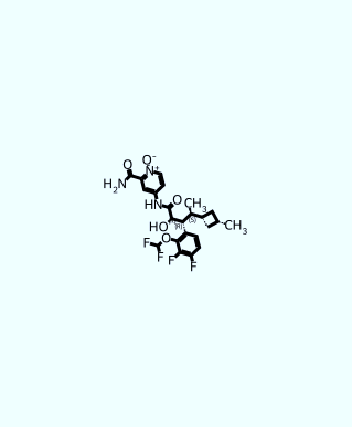 C[C@@H]([C@H]1C[C@@H](C)C1)[C@H](c1ccc(F)c(F)c1OC(F)F)[C@@H](O)C(=O)Nc1cc[n+]([O-])c(C(N)=O)c1